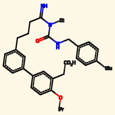 CCN(C(=N)CCCc1cccc(-c2ccc(OC(C)C)c(CC(=O)O)c2)c1)C(=O)NCc1ccc(C(C)(C)C)cc1